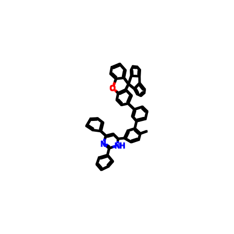 Cc1ccc(C2C=C(c3ccccc3)N=C(c3ccccc3)N2)cc1-c1cccc(-c2ccc3c(c2)C2(c4ccccc4O3)c3ccccc3-c3ccccc32)c1